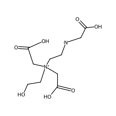 O=C(O)C[N]CC[N+](CCO)(CC(=O)O)CC(=O)O